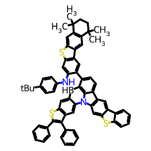 CC(C)(C)c1ccc(Nc2cc3sc4cc5c(cc4c3cc2-c2ccc3c4cc6c(cc4n4c3c2Bc2cc3sc(-c7ccccc7)c(-c7ccccc7)c3cc2-4)sc2ccccc26)C(C)(C)CCC5(C)C)cc1